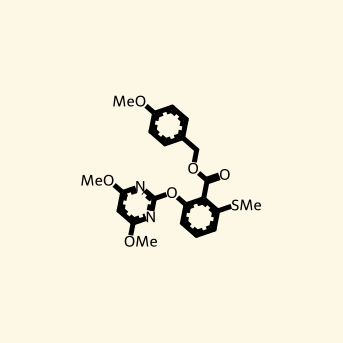 COc1ccc(COC(=O)c2c(Oc3nc(OC)cc(OC)n3)cccc2SC)cc1